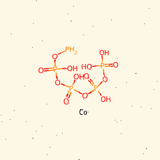 O=P(O)(O)OP(=O)(O)OP(=O)(O)OP(=O)(O)OP.[Co]